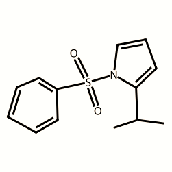 CC(C)c1cccn1S(=O)(=O)c1ccccc1